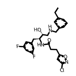 CCc1cccc(CNC[C@@H](O)[C@H](Cc2cc(F)cc(F)c2)NC(=O)CCc2cc(Cl)no2)c1